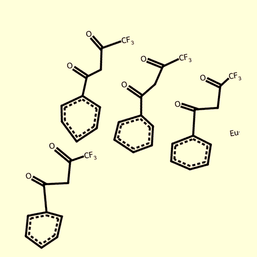 O=C(CC(=O)C(F)(F)F)c1ccccc1.O=C(CC(=O)C(F)(F)F)c1ccccc1.O=C(CC(=O)C(F)(F)F)c1ccccc1.O=C(CC(=O)C(F)(F)F)c1ccccc1.[Eu]